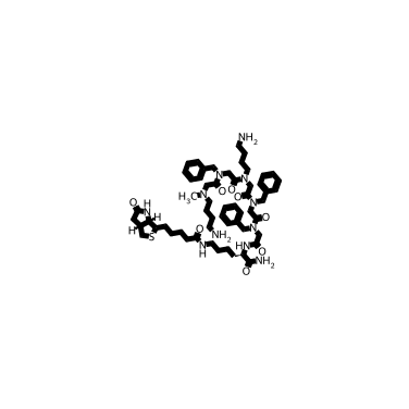 CN(CCCCN)CC(=O)N(CC(=O)N(CCCCN)CC(=O)N(CC(=O)N(CC(=O)N[C@@H](CCCCNC(=O)CCCCC1SC[C@@H]2CC(=O)N[C@H]12)C(N)=O)Cc1ccccc1)Cc1ccccc1)Cc1ccccc1